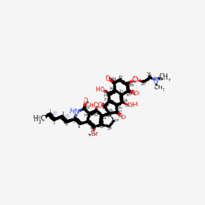 C/C=C/C=C/c1cc2c(Br)c3c(c(O)c2c(=O)[nH]1)[C@@]1(CC3)C(=O)c2c(O)c3c(c(O)c2C1=O)C(=O)C(OCCN(C)C)=CC3=O